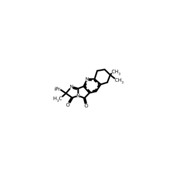 CC(C)C1(C)N=C2c3nc4c(cc3C(=O)N2C1=O)CC(C)(C)CC4